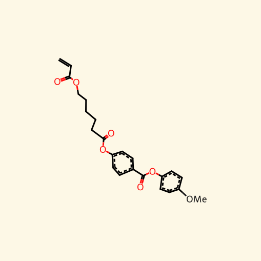 C=CC(=O)OCCCCCC(=O)Oc1ccc(C(=O)Oc2ccc(OC)cc2)cc1